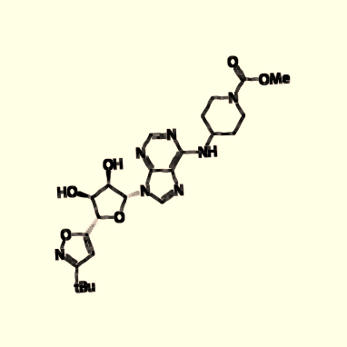 COC(=O)N1CCC(Nc2ncnc3c2ncn3[C@@H]2O[C@H](c3cc(C(C)(C)C)no3)[C@@H](O)[C@H]2O)CC1